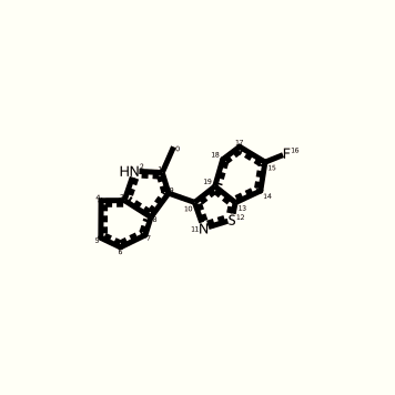 Cc1[nH]c2ccccc2c1-c1nsc2cc(F)ccc12